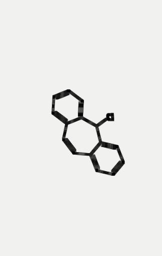 ClC1c2ccccc2C=Cc2ccccc21